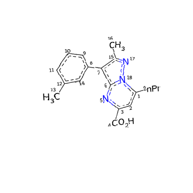 CCCc1cc(C(=O)O)nc2c(-c3cccc(C)c3)c(C)nn12